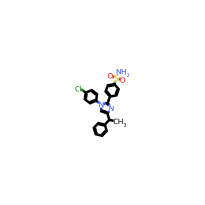 CC(c1ccccc1)c1cn(-c2ccc(Cl)cc2)c(-c2ccc(S(N)(=O)=O)cc2)n1